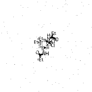 CCC(=O)[NH][Ti]1[Ti][Ti]([CH2]C)([CH2]C)[Ti][Ti]([Cl])([Cl])([NH]C(=O)CC)[Ti]1